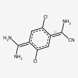 N#C/C(N)=c1\cc(Cl)c(=C(N)N)cc1Cl